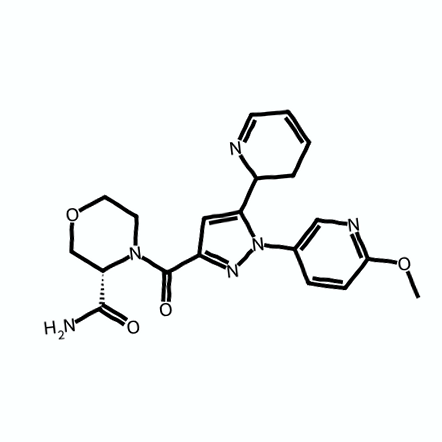 COc1ccc(-n2nc(C(=O)N3CCOC[C@H]3C(N)=O)cc2C2CC=CC=N2)cn1